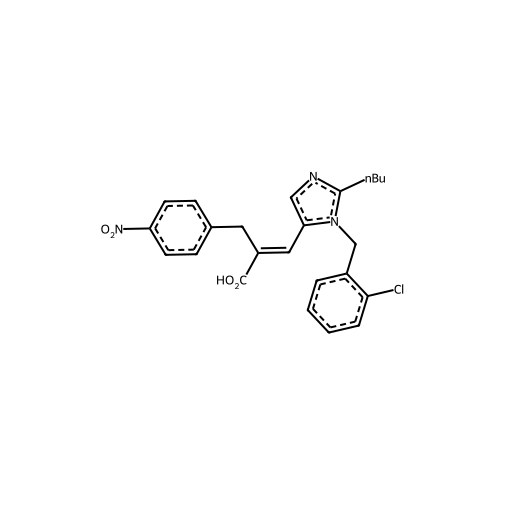 CCCCc1ncc(/C=C(\Cc2ccc([N+](=O)[O-])cc2)C(=O)O)n1Cc1ccccc1Cl